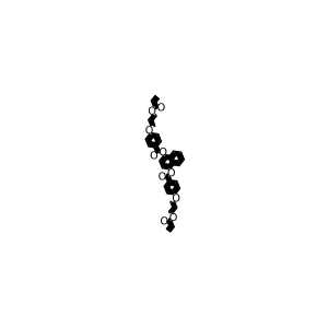 C=CC(=O)OCCCOc1ccc(C(=O)Oc2ccc(OC(=O)c3ccc(OCCCOC(=O)C=C)cc3)c3ccccc23)cc1